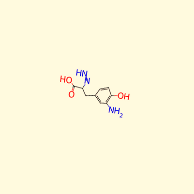 N=NC(Cc1ccc(O)c(N)c1)C(=O)O